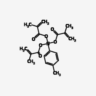 C=C(C)C(=O)O[Si](OC(=O)C(=C)C)(OC(=O)C(=C)C)c1ccc(C)cc1